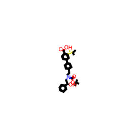 CC(C)Sc1cc(-c2ccc(CCN(C[C@H](O)c3ccccc3)C(=O)OC(C)(C)C)cc2)ccc1C(=O)O